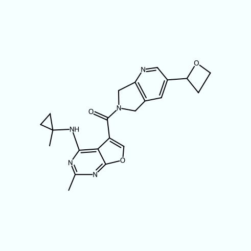 Cc1nc(NC2(C)CC2)c2c(C(=O)N3Cc4cc(C5CCO5)cnc4C3)coc2n1